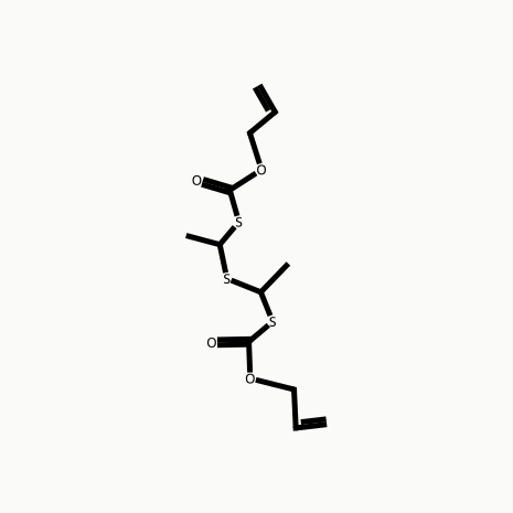 C=CCOC(=O)SC(C)SC(C)SC(=O)OCC=C